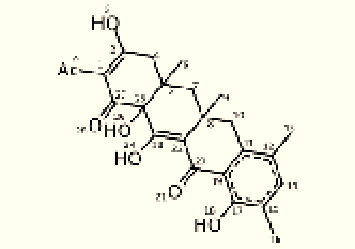 CC(=O)C1=C(O)CC2(C)CC3(C)Cc4c(C)cc(C)c(O)c4C(=O)C3=C(O)C2(O)C1=O